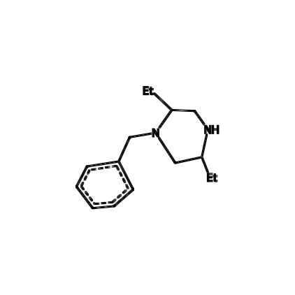 CCC1CN(Cc2ccccc2)C(CC)CN1